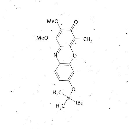 COc1c2nc3ccc(O[Si](C)(C)C(C)(C)C)cc3oc-2c(C)c(=O)c1OC